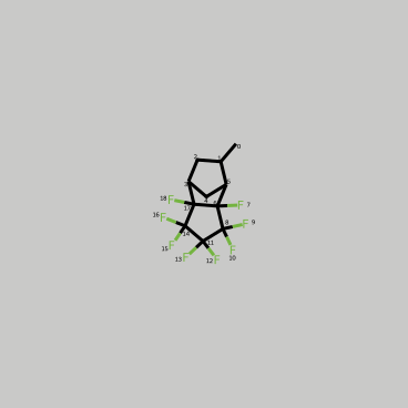 CC1CC2CC1C1(F)C(F)(F)C(F)(F)C(F)(F)C21F